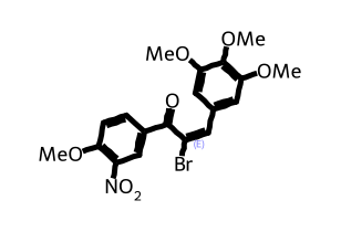 COc1ccc(C(=O)/C(Br)=C\c2cc(OC)c(OC)c(OC)c2)cc1[N+](=O)[O-]